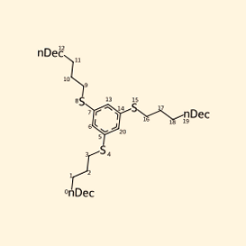 CCCCCCCCCCCCCSc1cc(SCCCCCCCCCCCCC)cc(SCCCCCCCCCCCCC)c1